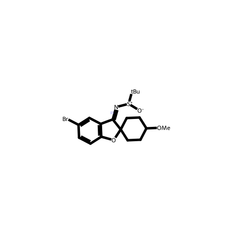 COC1CCC2(CC1)Oc1ccc(Br)cc1/C2=N/[S+]([O-])C(C)(C)C